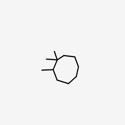 [CH2]C1(C)CCCCCCC1C